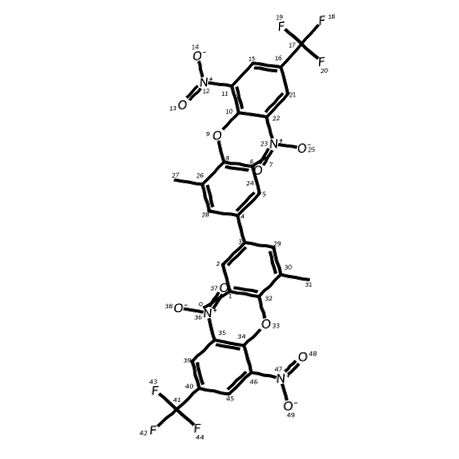 Cc1cc(-c2cc(C)c(Oc3c([N+](=O)[O-])cc(C(F)(F)F)cc3[N+](=O)[O-])c(C)c2)cc(C)c1Oc1c([N+](=O)[O-])cc(C(F)(F)F)cc1[N+](=O)[O-]